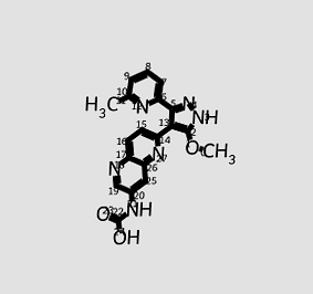 COc1[nH]nc(-c2cccc(C)n2)c1-c1ccc2ncc(NC(=O)O)cc2n1